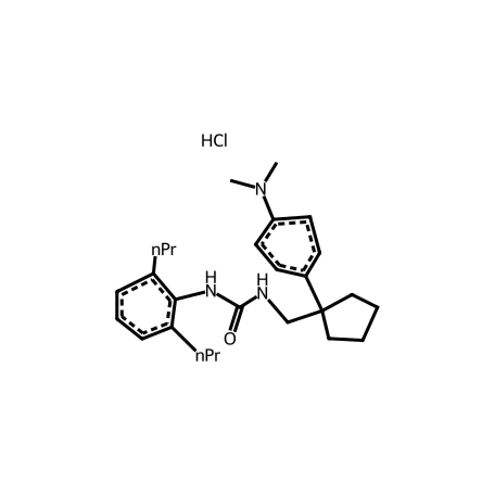 CCCc1cccc(CCC)c1NC(=O)NCC1(c2ccc(N(C)C)cc2)CCCC1.Cl